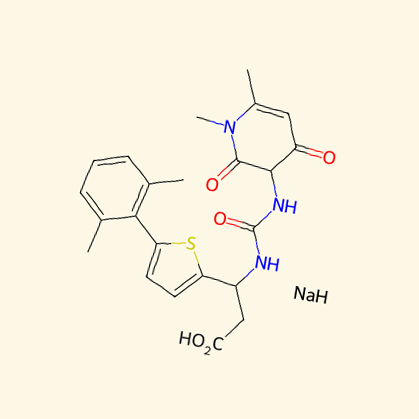 CC1=CC(=O)C(NC(=O)NC(CC(=O)O)c2ccc(-c3c(C)cccc3C)s2)C(=O)N1C.[NaH]